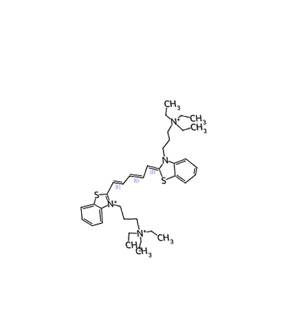 CC[N+](CC)(CC)CCCN1/C(=C/C=C/C=C/c2sc3ccccc3[n+]2CCC[N+](CC)(CC)CC)Sc2ccccc21